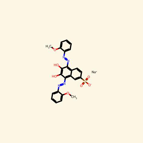 COc1ccccc1N=Nc1c(O)c(O)c(N=Nc2ccccc2OC)c2cc(S(=O)(=O)[O-])ccc12.[Na+]